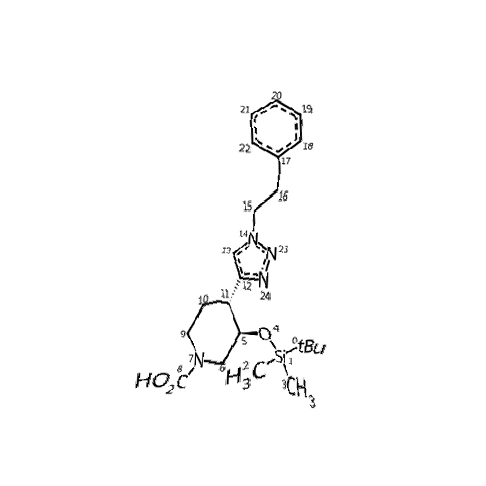 CC(C)(C)[Si](C)(C)O[C@H]1CN(C(=O)O)CC[C@@H]1c1cn(CCc2ccccc2)nn1